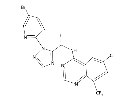 C[C@H](Nc1ncnc2c(C(F)(F)F)cc(Cl)cc12)c1ncnn1-c1ncc(Br)cn1